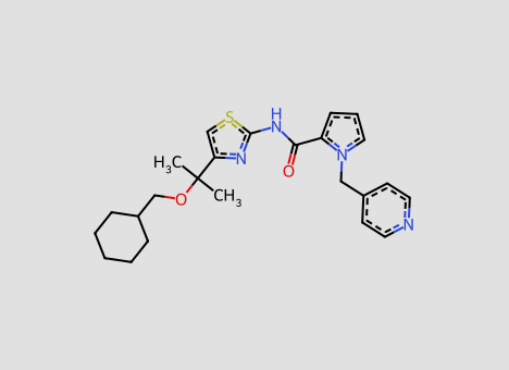 CC(C)(OCC1CCCCC1)c1csc(NC(=O)c2cccn2Cc2ccncc2)n1